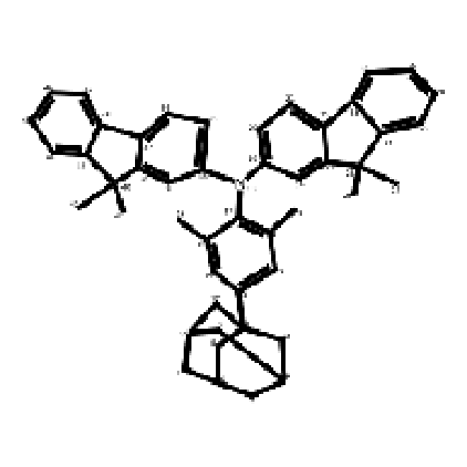 Cc1cc(C23CC4CC(CC(C4)C2)C3)cc(C)c1N(c1ccc2c(c1)C(C)(C)c1ccccc1-2)c1ccc2c(c1)C(C)(C)c1ccccc1-2